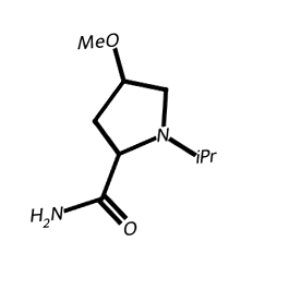 COC1CC(C(N)=O)N(C(C)C)C1